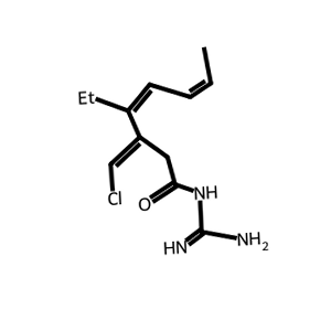 C\C=C/C=C(CC)\C(=C\Cl)CC(=O)NC(=N)N